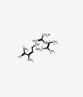 C=C(CCCC)C(=O)O.CC(=CCO)C(N)=O.CC=C(C)C(=O)O